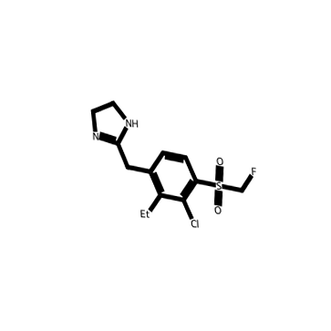 CCc1c(CC2=NCCN2)ccc(S(=O)(=O)CF)c1Cl